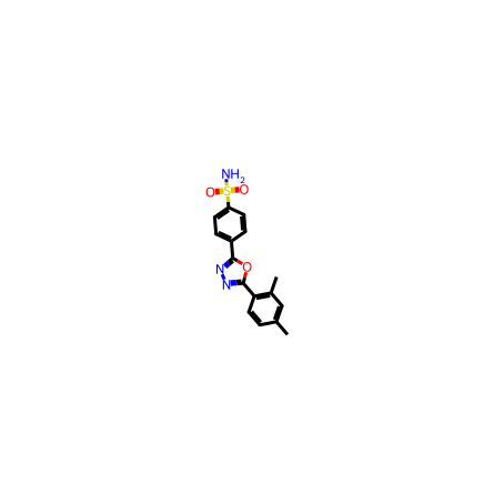 Cc1ccc(-c2nnc(-c3ccc(S(N)(=O)=O)cc3)o2)c(C)c1